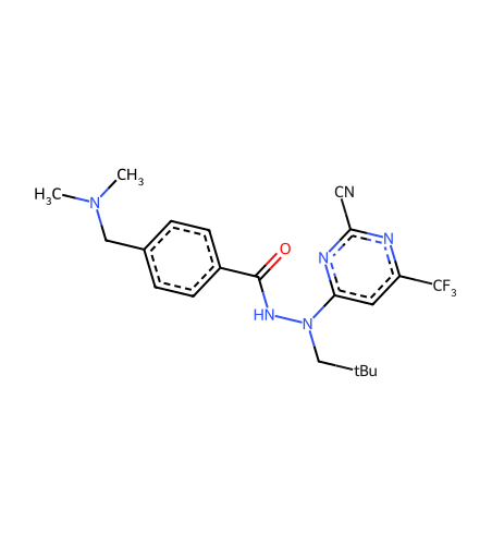 CN(C)Cc1ccc(C(=O)NN(CC(C)(C)C)c2cc(C(F)(F)F)nc(C#N)n2)cc1